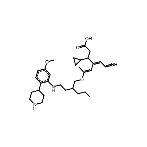 CCCC(CCNc1cc(OC)ccc1C1CCNCC1)CO/C(C)=C/C(=C\C=N)C(CC(=O)O)C1CC1